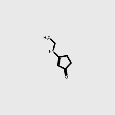 CCNC1=CC(=O)CC1